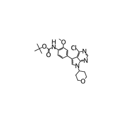 COc1cc(-c2cn(C3CCOCC3)c3ncnc(Cl)c23)ccc1NC(=O)OC(C)(C)C